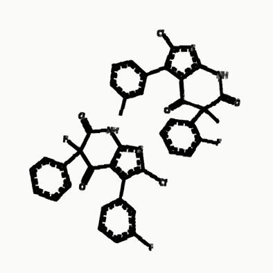 Cc1cccc(-c2c(Cl)sc3c2C(=O)C(C)(c2ccccc2F)C(=O)N3)c1.O=C1Nc2sc(Cl)c(-c3cccc(F)c3)c2C(=O)C1(F)c1ccccc1